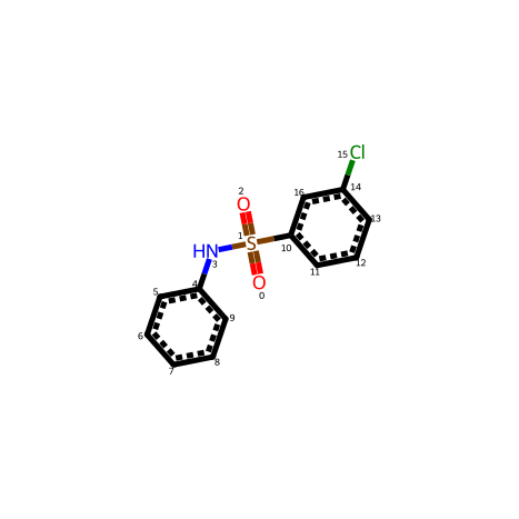 O=S(=O)(Nc1ccccc1)c1cc[c]c(Cl)c1